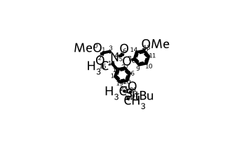 COC(=O)CN(C(=O)Oc1cccc(OC)c1)[C@@H](C)c1ccc(O[Si](C)(C)C(C)(C)C)cc1